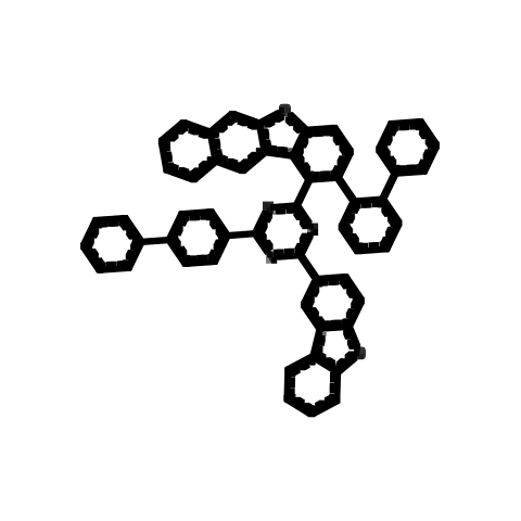 c1ccc(-c2ccc(-c3nc(-c4ccc5oc6ccccc6c5c4)nc(-c4c(-c5ccccc5-c5ccccc5)ccc5oc6cc7ccccc7cc6c45)n3)cc2)cc1